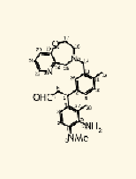 CNc1ccc([C@@H](CC=O)c2ccc(C)c(CN3CCOc4cccnc4C3)c2)c(C)c1N